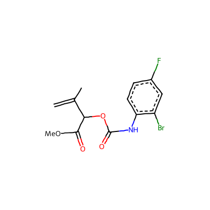 C=C(C)C(OC(=O)Nc1ccc(F)cc1Br)C(=O)OC